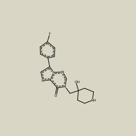 O=c1c2ncc(-c3ccc(F)cc3)n2ncn1CC1(O)CCNCC1